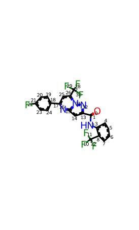 O=C(Nc1ccccc1C(F)(F)F)c1cc2nc(-c3ccc(F)cc3)cc(C(F)(F)F)n2n1